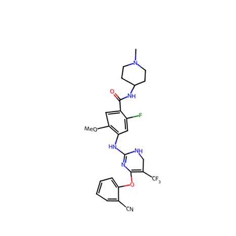 COc1cc(C(=O)NC2CCN(C)CC2)c(F)cc1NC1=NC(Oc2ccccc2C#N)=C(C(F)(F)F)CN1